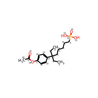 CCC(CC)(CCCCCP(=O)(O)O)c1ccc(OC(C)=O)cc1